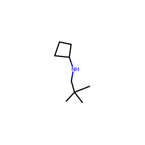 CC(C)(C)CNC1CCC1